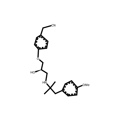 COc1ccc(CC(C)(C)NC[C@@H](O)COc2ccc(CC#N)cc2)cc1